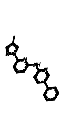 Cc1cnn(-c2cccc(Nc3ccc(-c4ccccc4)cn3)n2)c1